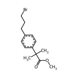 COC(=O)C(C)(C)c1ccc(CCCBr)cc1